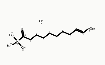 CCCCCCCCC=CCCCCCCCC(=O)[N+](C)(O)O.[Cl-]